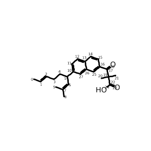 CC=CCCC(C=C(C)C)c1ccc2ccc(C(=O)C(C)(C)C(=O)O)cc2c1